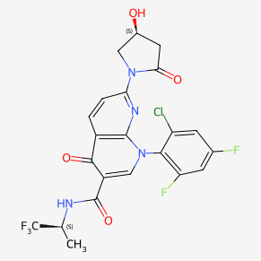 C[C@H](NC(=O)c1cn(-c2c(F)cc(F)cc2Cl)c2nc(N3C[C@@H](O)CC3=O)ccc2c1=O)C(F)(F)F